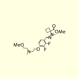 COCCN(C)CCOc1ccc(C=NN(C)C2(C(=O)OC)CCC2)c(F)c1F